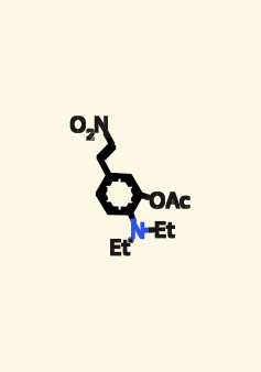 CCN(CC)c1ccc(C=C[N+](=O)[O-])cc1OC(C)=O